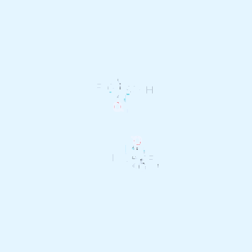 O=S(=O)(O)C(C(F)(F)F)(C(F)(F)F)C(F)(F)OCCCCOC(F)(F)C(C(F)(F)F)(C(F)(F)F)S(=O)(=O)O